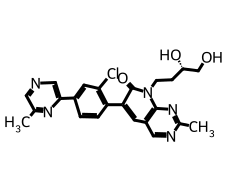 Cc1cncc(-c2ccc(-c3cc4cnc(C)nc4n(CC[C@H](O)CO)c3=O)c(Cl)c2)n1